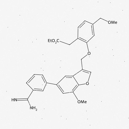 CCOC(=O)Cc1ccc(COC)cc1OCc1coc2c(OC)cc(-c3cccc(C(=N)N)c3)cc12